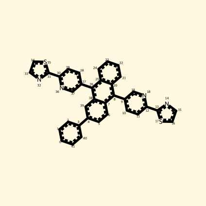 c1ccc(-c2ccc3c(-c4ccc(-c5nccs5)nc4)c4ccccc4c(-c4ccc(-c5nccs5)nc4)c3c2)cc1